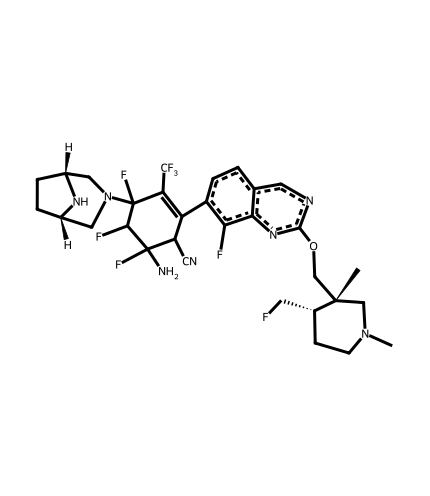 CN1CC[C@H](CF)[C@](C)(COc2ncc3ccc(C4=C(C(F)(F)F)C(F)(N5C[C@H]6CC[C@@H](C5)N6)C(F)C(N)(F)C4C#N)c(F)c3n2)C1